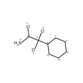 [SiH3]C(Cl)C(Cl)(Cl)C1CCCCC1